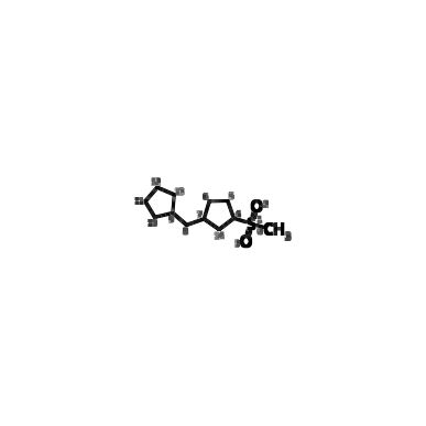 CS(=O)(=O)C1CCC(CC2CCCC2)C1